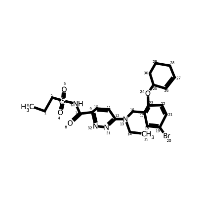 CCCS(=O)(=O)NC(=O)c1ccc(N(CC)Cc2cc(Br)ccc2OC2C=CCCC2)nn1